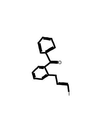 O=C(c1ccccc1)c1ccccc1CC=CI